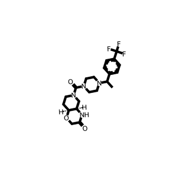 CC(c1ccc(C(F)(F)F)cc1)N1CCN(C(=O)N2CC[C@@H]3OCC(=O)N[C@@H]3C2)CC1